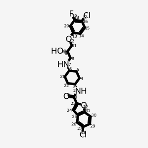 O=C(N[C@H]1CC[C@H](NC[C@H](O)COc2ccc(Cl)c(F)c2)CC1)c1cc2cc(Cl)ccc2o1